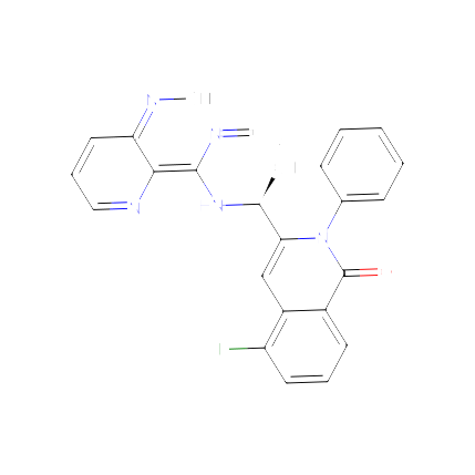 C=N/C(N[C@@H](C)c1cc2c(F)cccc2c(=O)n1-c1ccccc1)=C1/N=CC=C/C1=N/C